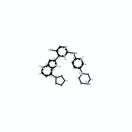 Fc1cnc(Nc2ccc(N3CCNCC3)cn2)nc1-c1cc2nccc(C3CCCC3)c2s1